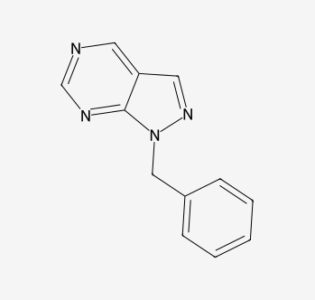 c1ccc(Cn2ncc3cncnc32)cc1